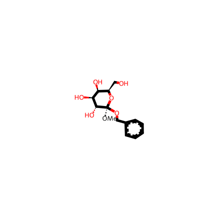 CO[C@@]1(OCc2ccccc2)O[C@H](CO)[C@H](O)[C@H](O)[C@H]1O